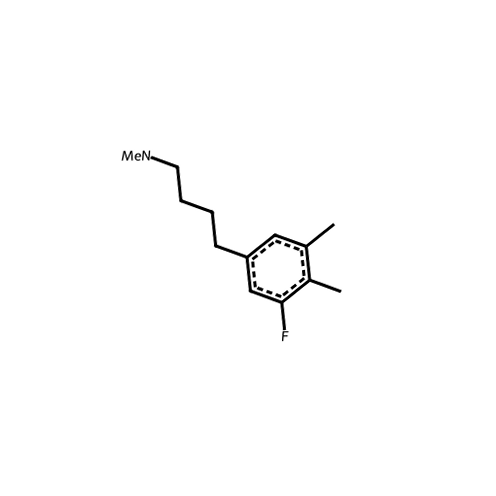 CNCCCCc1cc(C)c(C)c(F)c1